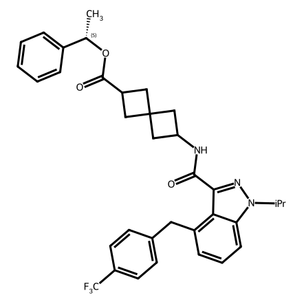 CC(C)n1nc(C(=O)NC2CC3(C2)CC(C(=O)O[C@@H](C)c2ccccc2)C3)c2c(Cc3ccc(C(F)(F)F)cc3)cccc21